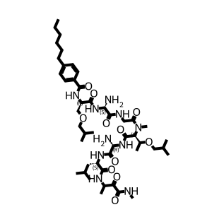 CCCCCCc1ccc(C(=O)N[C@H](COCC(C)C)C(=O)N[C@H](N)C(=O)NCC(=O)N(C)[C@H](C(=O)N[C@@H](N)C(=O)N[C@@H](CC(C)C)C(=O)NC(C)C(=O)C(=O)NC)C(C)OCC(C)C)cc1